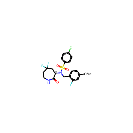 COc1ccc(CN([C@@H]2CC(F)(F)CCNC2=O)S(=O)(=O)c2ccc(Cl)cc2)c(F)c1